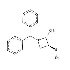 CCS[C@H]1CN(C(c2ccccc2)c2ccccc2)[C@@H]1C